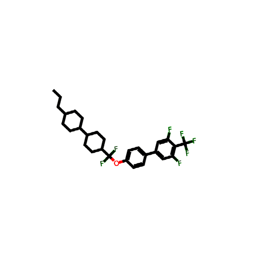 CCCC1CCC(C2CCC(C(F)(F)Oc3ccc(-c4cc(F)c(C(F)(F)F)c(F)c4)cc3)CC2)CC1